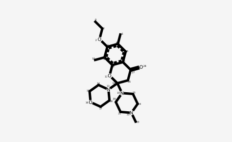 CCOc1c(C)cc2c(c1C)OC(N1CCOCC1)(N1CCN(C)CC1)CC2=O